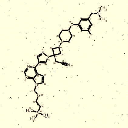 CN(C)Cc1cc(F)cc(OC2CCN([C@H]3C[C@](CC#N)(n4cc(-c5ncnc6c5ccn6COCC[Si](C)(C)C)cn4)C3)CC2)c1